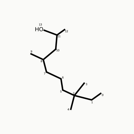 CCC(C)(C)CCCC(C)CC(C)O